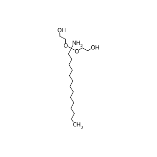 CCCCCCCCCCCCCCC(N)(OCCO)OCCO